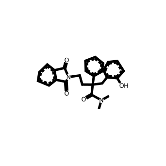 CN(C)C(=O)C(CCN1C(=O)c2ccccc2C1=O)(Cc1ccccc1O)c1ccccc1